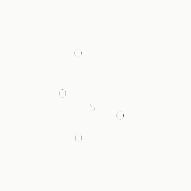 CC(=O)S([O])(=O)=O